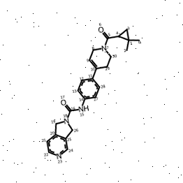 CC1(C)CC1C(=O)N1CC=C(c2ccc(NC(=O)N3Cc4ccncc4C3)cc2)CC1